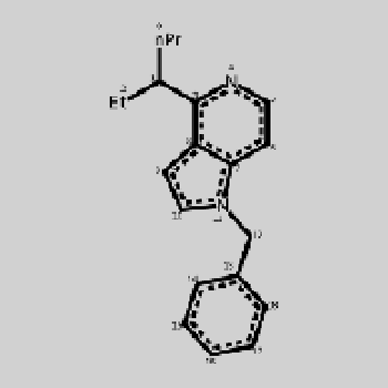 CCCC(CC)c1nccc2c1ccn2Cc1ccccc1